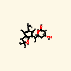 Cc1c2c(c(C(C)[C@@H]3C[C@@H](O)CC(=O)O3)c(C)c1[N+](=O)[O-])OC(C)(C)C2